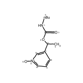 CCCCNC(=O)OC(C)c1ccc[n+]([O-])c1